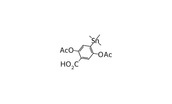 CC(=O)Oc1c[c]([Sn]([CH3])([CH3])[CH3])c(OC(C)=O)cc1C(=O)O